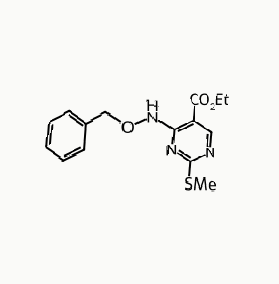 CCOC(=O)c1cnc(SC)nc1NOCc1ccccc1